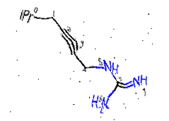 CC(C)CC#CCNC(=N)N